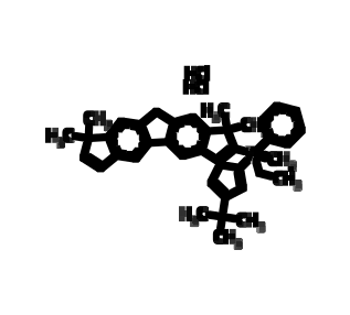 Cl.Cl.[CH2]=[Zr]([CH2]C)([C]1=CC(C(C)(C)C)=CC1)([C]1=Cc2cc3c(cc2C1(C)C)Cc1cc2c(cc1-3)C=CC2(C)C)[c]1ccccc1